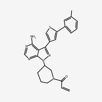 C=CC(=O)N1CCCC(n2nc(-c3csc(-c4cccc(C)c4)c3)c3c(N)ncnc32)C1